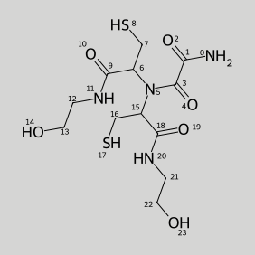 NC(=O)C(=O)N(C(CS)C(=O)NCCO)C(CS)C(=O)NCCO